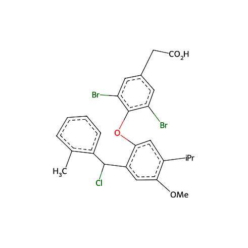 COc1cc(C(Cl)c2ccccc2C)c(Oc2c(Br)cc(CC(=O)O)cc2Br)cc1C(C)C